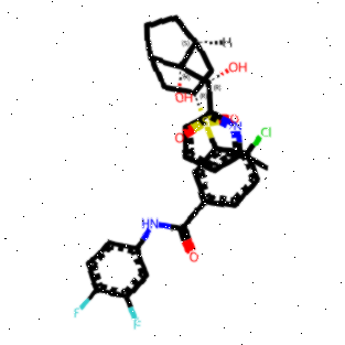 Cc1cccc([C@@H](O)[C@@]2(O)C3CC[C@H]2C[C@H](S(=O)(=O)c2cc(C(=O)Nc4ccc(F)c(F)c4)ccc2Cl)C3)n1